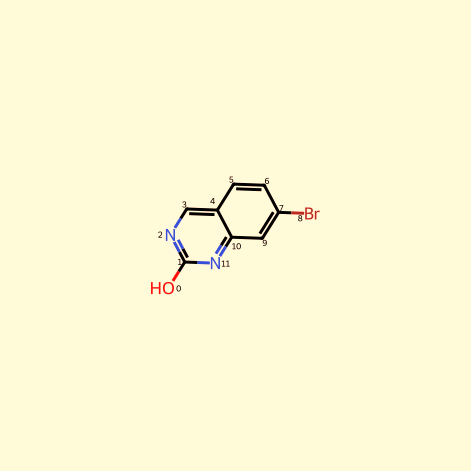 Oc1ncc2ccc(Br)cc2n1